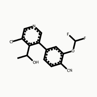 CC(O)c1c(Cl)cncc1-c1ccc(C#N)c(OC(F)F)c1